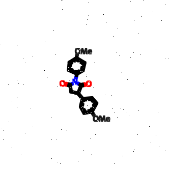 COc1ccc(C2CC(=O)N(c3ccc(OC)cc3)C2=O)cc1